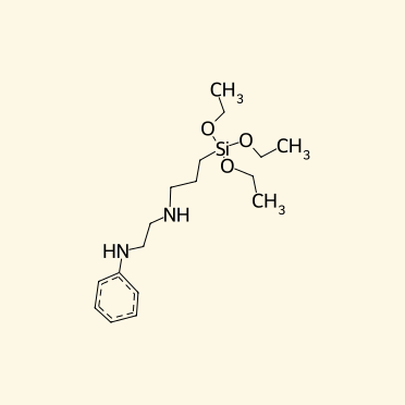 CCO[Si](CCCNCCNc1ccccc1)(OCC)OCC